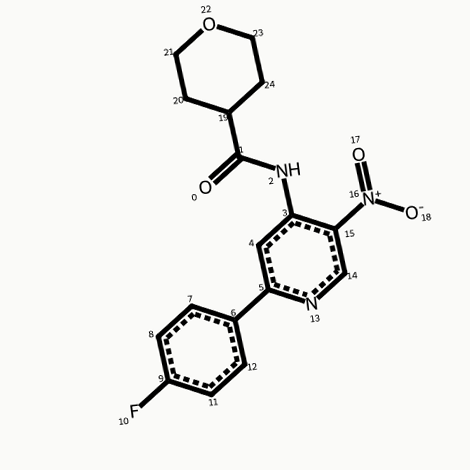 O=C(Nc1cc(-c2ccc(F)cc2)ncc1[N+](=O)[O-])C1CCOCC1